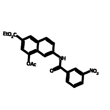 CCOC(=O)c1cc(OC(C)=O)c2cc(NC(=O)c3cccc([N+](=O)[O-])c3)ccc2c1